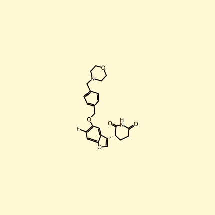 O=C1CC[C@H](c2coc3cc(F)c(OCc4ccc(CN5CCOCC5)cc4)cc23)C(=O)N1